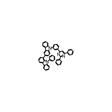 c1ccc(-c2cc(-c3cccc(-n4c5ccccc5c5cc(-c6cccc7c8ccccc8n(-c8ccccc8)c67)ccc54)c3)nc(-c3ccccc3)n2)cc1